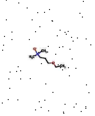 CCOCCC[N+](C)(C)[O-]